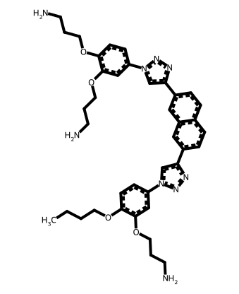 CCCCOc1ccc(-n2cc(-c3ccc4ccc(-c5cn(-c6ccc(OCCCN)c(OCCCN)c6)nn5)cc4c3)nn2)cc1OCCCN